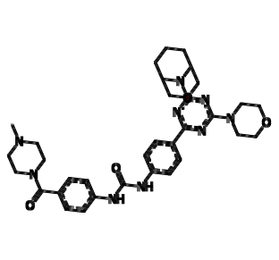 CN1CCN(C(=O)c2ccc(NC(=O)Nc3ccc(-c4nc(N5CCOCC5)nc(N5C6CCCC5COC6)n4)cc3)cc2)CC1